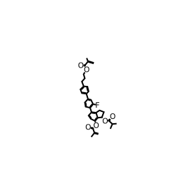 C=C(C)C(=O)OCCCc1ccc(-c2ccc(-c3ccc(OC(=O)C(=C)C)c4c3CCC4OC(=O)C(C)C)c(F)c2)cc1